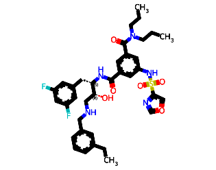 CCCN(CCC)C(=O)c1cc(NS(=O)(=O)c2cocn2)cc(C(=O)N[C@@H](Cc2cc(F)cc(F)c2)[C@H](O)CNCc2cccc(CC)c2)c1